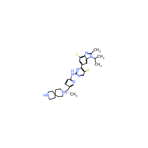 Cc1nc2c(F)cc(-c3nc(Nc4ccc([C@H](C)N5CCC6(CCNCC6)CC5)cn4)ncc3F)cc2n1C(C)C